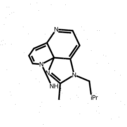 CC1=NC23C(=CC=CN2N)N=CC=C3N1CC(C)C